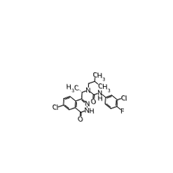 CC(C)CN(C(=O)Nc1ccc(F)c(Cl)c1)[C@@H](C)c1n[nH]c(=O)c2cc(Cl)ccc12